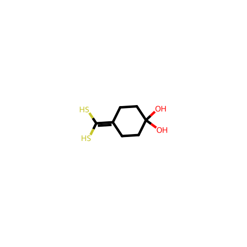 OC1(O)CCC(=C(S)S)CC1